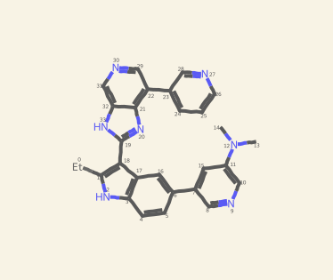 CCc1[nH]c2ccc(-c3cncc(N(C)C)c3)cc2c1-c1nc2c(-c3cccnc3)cncc2[nH]1